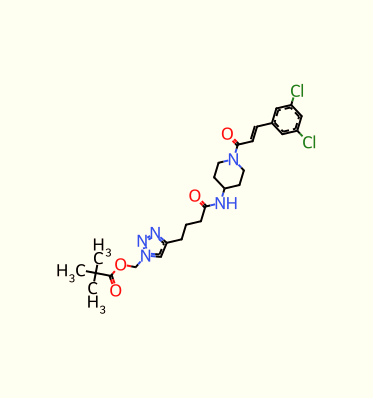 CC(C)(C)C(=O)OCn1cc(CCCC(=O)NC2CCN(C(=O)C=Cc3cc(Cl)cc(Cl)c3)CC2)nn1